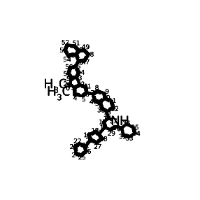 CC1(C)c2ccc(-c3ccc4ccc(C5C=C(c6ccc(-c7ccccc7)cc6)C=C(C6C=CC=CC6)N5)cc4c3)cc2-c2cc(-c3cccc4ccccc34)ccc21